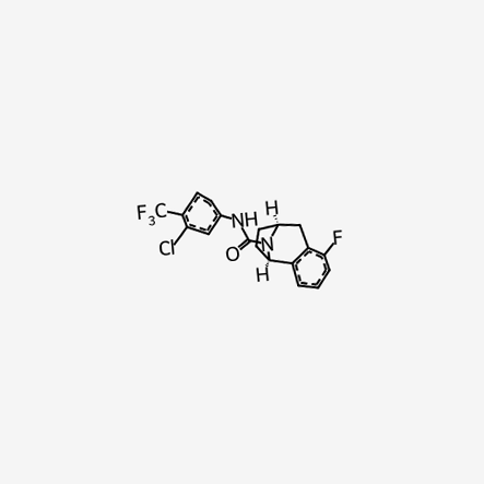 O=C(Nc1ccc(C(F)(F)F)c(Cl)c1)N1[C@H]2CC[C@@H]1c1cccc(F)c1C2